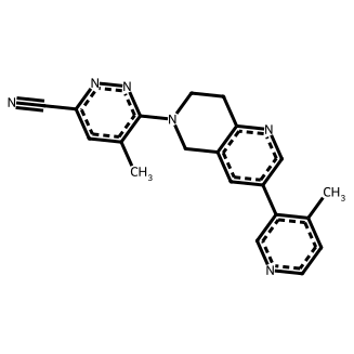 Cc1ccncc1-c1cnc2c(c1)CN(c1nnc(C#N)cc1C)CC2